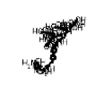 N=C(NCCCCc1ccc(-c2ccc(CCC(=O)NCCN(CCCN(C[C@H](O)[C@@H](O)[C@H](O)[C@H](O)CO)C[C@H](O)[C@@H](O)[C@H](O)[C@H](O)CO)CCCN(C[C@H](O)[C@@H](O)[C@H](O)[C@H](O)CO)C[C@H](O)[C@@H](O)[C@H](O)[C@H](O)CO)cc2)cc1)NC(=O)c1nc(Cl)c(N)nc1N